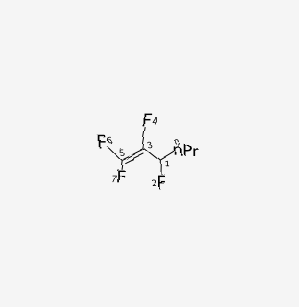 CCCC(F)C(F)=C(F)F